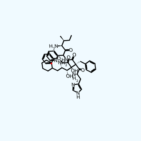 CC[C@H](C)[C@H](N)C(=O)C(NC(=O)[C@@](Cc1ccccc1)(C(=O)[C@@H](N)Cc1c[nH]cn1)[C@](O)(C(=O)COc1ccccc1)[C@H](O)[C@@H](N)CC1CCCCC1)c1ccccn1